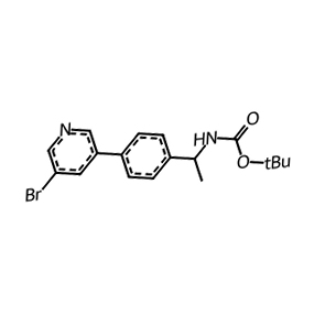 CC(NC(=O)OC(C)(C)C)c1ccc(-c2cncc(Br)c2)cc1